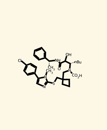 CCCC[C@@H](C(O)C(=O)N[C@H](C)c1ccccc1)N(CC1(CSc2ncc(-c3ccc(Cl)cc3)n2C)CCC1)C(=O)O